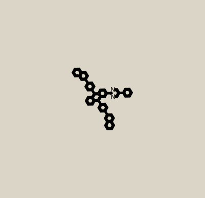 c1ccc(-c2cnc(-c3ccc4c(-c5ccc(-c6ccc7ccccc7c6)cc5)c5ccccc5c(-c5ccc(-c6ccc7ccccc7c6)cc5)c4c3)nc2)cc1